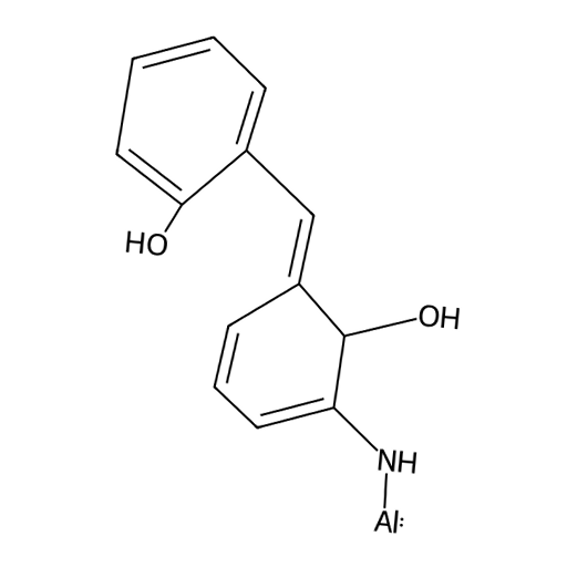 Oc1ccccc1C=C1C=CC=C([NH][Al])C1O